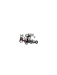 CC(C[CH]C(=O)NC(Cc1ccc(OCc2ccccc2)cc1)C(=O)NCCCN1CCCCC1C)C(N)=O